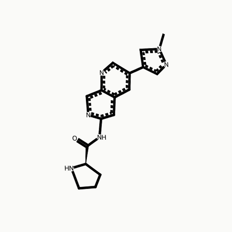 Cn1cc(-c2cnc3cnc(NC(=O)[C@H]4CCCN4)cc3c2)cn1